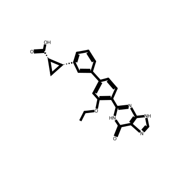 CCOc1cc(-c2cccc([C@@H]3C[C@@H]3C(=O)O)c2)ccc1-c1nc2[nH]cnc2c(=O)[nH]1